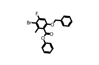 Cc1c(Br)c(F)cc(OCc2ccccc2)c1C(=O)Oc1ccccc1